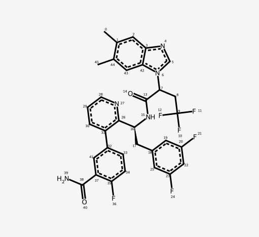 Cc1cc2ncn(C(CC(F)(F)F)C(=O)N[C@@H](Cc3cc(F)cc(F)c3)c3ncccc3-c3ccc(F)c(C(N)=O)c3)c2cc1C